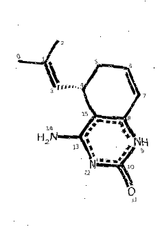 CC(C)=C[C@@H]1CC=Cc2[nH]c(=O)nc(N)c21